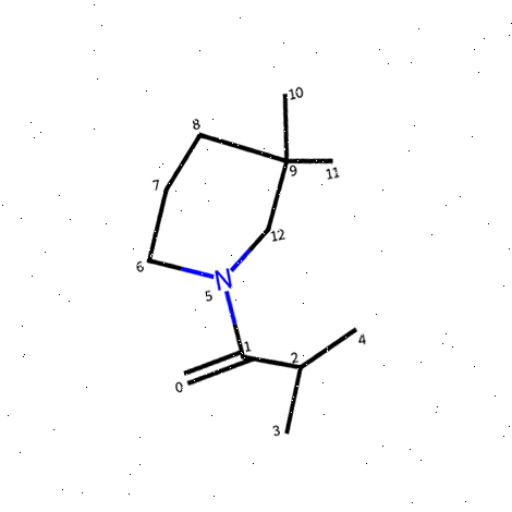 C=C(C(C)C)N1CCCC(C)(C)C1